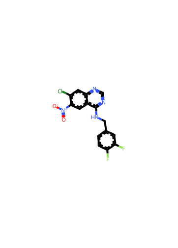 O=[N+]([O-])c1cc2c(NCc3ccc(F)c(F)c3)ncnc2cc1Cl